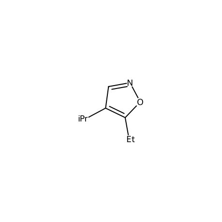 CCc1oncc1C(C)C